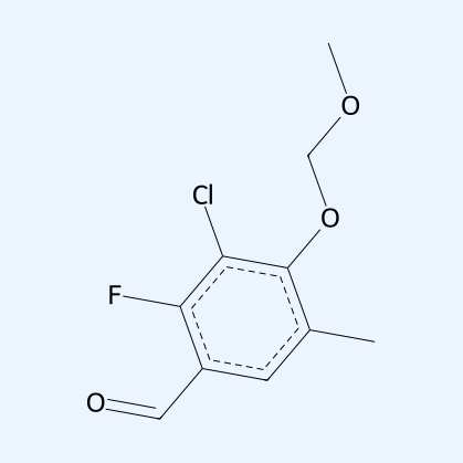 COCOc1c(C)cc(C=O)c(F)c1Cl